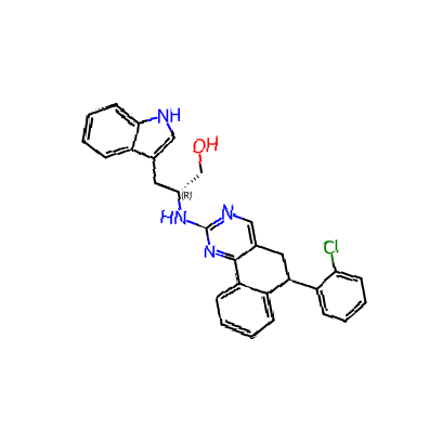 OC[C@@H](Cc1c[nH]c2ccccc12)Nc1ncc2c(n1)-c1ccccc1C(c1ccccc1Cl)C2